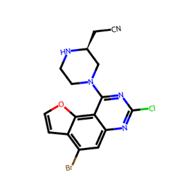 N#CC[C@H]1CN(c2nc(Cl)nc3cc(Br)c4ccoc4c23)CCN1